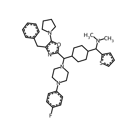 CN(C)C(c1cccs1)C1CCC(C(c2nc(Cc3ccccc3)c(N3CCCC3)o2)N2CCN(c3ccc(F)cc3)CC2)CC1